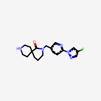 O=C1N(Cc2ccc(-n3cc(F)cn3)nc2)CCCC12CCNCC2